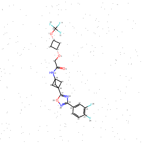 O=C(CO[C@H]1C[C@@H](OC(F)(F)F)C1)NC12CC(c3nc(-c4ccc(F)c(F)c4)no3)(C1)C2